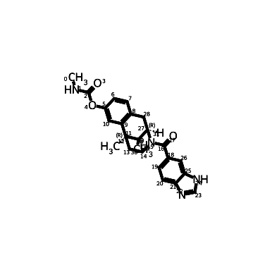 CNC(=O)Oc1ccc2c(c1)[C@]1(C)CCN(C(=O)c3ccc4nc[nH]c4c3)[C@H](C2)[C@H]1C